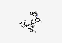 CN/C=C(\CN)c1cc(F)cc(CNC2C=C(N3CCC4(CC4)C3=O)C=C(C)N2)c1